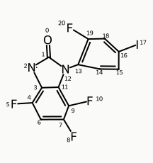 O=C1[N]c2c(F)cc(F)c(F)c2N1c1ccc(I)cc1F